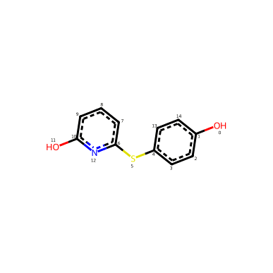 Oc1ccc(Sc2cccc(O)n2)cc1